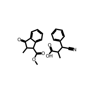 CC(C(=O)O)C(C#N)c1ccccc1.COC(=O)C1c2ccccc2C(=O)C1C